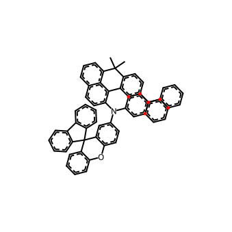 CC1(C)c2ccc(-c3ccccc3)cc2-c2c(N(c3ccc(-c4ccccc4)cc3)c3ccc4c(c3)C3(c5ccccc5O4)c4ccccc4-c4ccccc43)ccc3cccc1c23